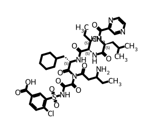 CCC(N)CC(=O)N(C(=O)C(=O)NS(=O)(=O)c1cc(C(=O)O)ccc1Cl)C(=O)[C@H](CC1CCCCC1)NC(=O)[C@@H](NC(=O)[C@H](CC(C)C)NC(=O)c1cnccn1)[C@@H](C)CC